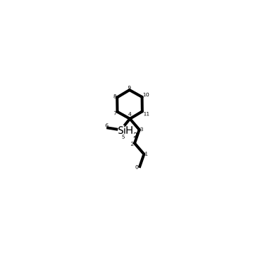 CCCCC1([SiH2]C)CCCCC1